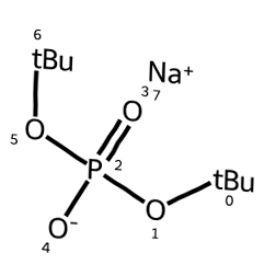 CC(C)(C)OP(=O)([O-])OC(C)(C)C.[Na+]